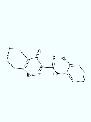 O=C(Nc1ccccc1Cl)c1c[nH]c2c(c1=O)CCCC2